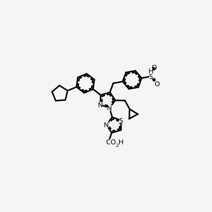 O=C(O)c1csc(-n2nc(-c3cccc(C4CCCC4)c3)c(Cc3ccc([SH](=O)=O)cc3)c2CC2CC2)n1